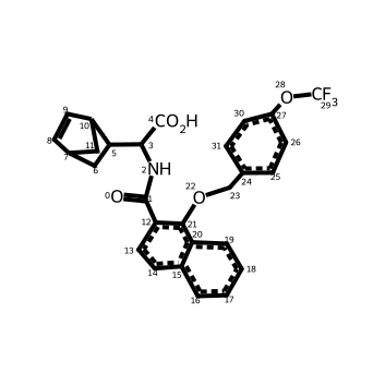 O=C(NC(C(=O)O)C1CC2C=CC1C2)c1ccc2ccccc2c1OCc1ccc(OC(F)(F)F)cc1